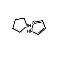 B1CCCC1.c1cn[nH]c1